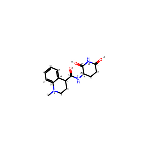 CN1CCC(C(=O)N[C@@H]2CCC(=O)NC2=O)c2ccccc21